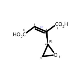 O=C(O)/C=C(/C(=O)O)[C@@H]1CO1